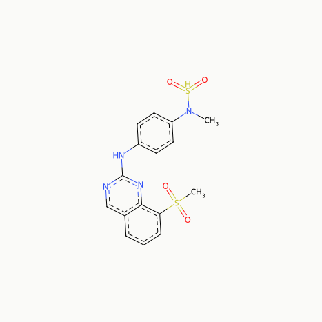 CN(c1ccc(Nc2ncc3cccc(S(C)(=O)=O)c3n2)cc1)[SH](=O)=O